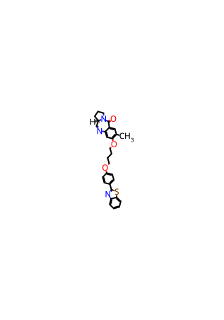 Cc1cc2c(cc1OCCCCOc1ccc(-c3nc4ccccc4s3)cc1)N=C[C@@H]1CCCN1C2=O